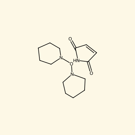 C1CCN(ON2CCCCC2)CC1.O=C1C=CC(=O)N1